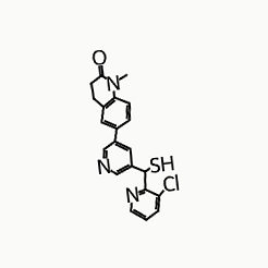 CN1C(=O)CCc2cc(-c3cncc(C(S)c4ncccc4Cl)c3)ccc21